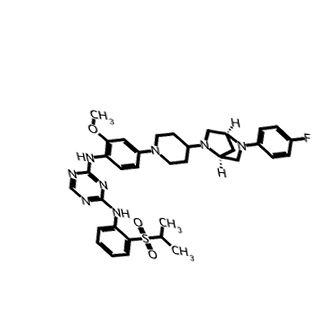 COc1cc(N2CCC(N3C[C@@H]4C[C@H]3CN4c3ccc(F)cc3)CC2)ccc1Nc1ncnc(Nc2ccccc2S(=O)(=O)C(C)C)n1